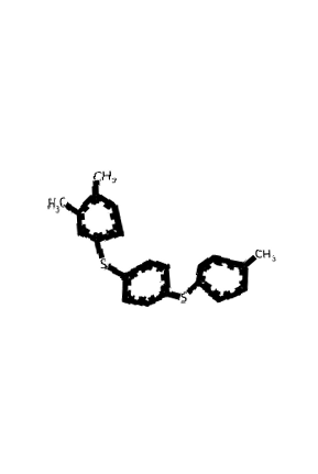 Cc1ccc(Sc2ccc(Sc3ccc(C)c(C)c3)cc2)cc1